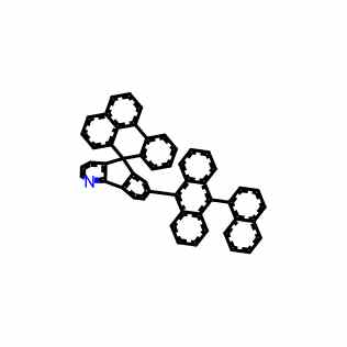 c1ccc2c(c1)-c1cccc3cccc(c13)C21c2cc(-c3c4ccccc4c(-c4cccc5ccccc45)c4ccccc34)ccc2-c2ncccc21